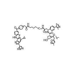 Cc1cc([C@H](C(=O)N2C[C@H](O)C[C@H]2C(=O)N[C@@H](CC(=O)NCCCCCCCNC(=O)CN2CCN(C(=O)c3ccc(Nc4nc(C5CC5)cn5c(-c6cn[nH]c6)cnc45)c(F)c3)CC2)c2ccc(-c3scnc3C)cc2)C(C)(C)C)on1